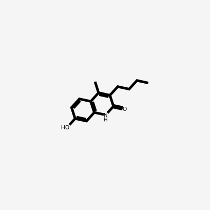 CCCCc1c(C)c2ccc(O)cc2[nH]c1=O